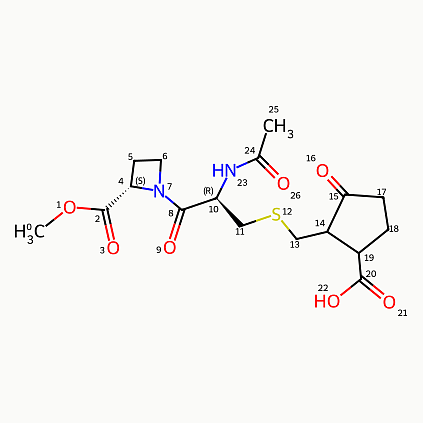 COC(=O)[C@@H]1CCN1C(=O)[C@H](CSCC1C(=O)CCC1C(=O)O)NC(C)=O